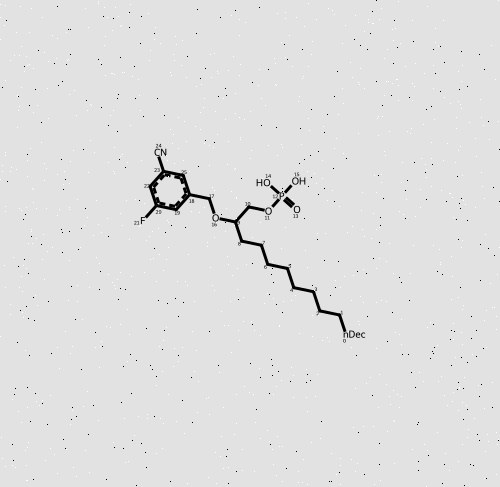 CCCCCCCCCCCCCCCCCCC(COP(=O)(O)O)OCc1cc(F)cc(C#N)c1